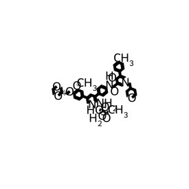 CCS(=O)(=O)O.COc1cc(-c2cnc(N)c(-c3ccc(NC(=O)c4cn(CC5CCOCC5)cc(-c5ccc(C)cc5)c4=O)cc3)c2)ccc1OC[C@H]1COCCO1.O